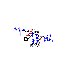 CC[C@H](C)[C@H](N)C(=O)N[C@@H](CC(=O)O)C(=O)N[C@@H](CCCNC(=N)N)C(=O)N[C@H](C(=O)N[C@@H](Cc1ccccc1)C(=O)N[C@H]([C]=O)CCCNC(=N)N)[C@@H](C)CC